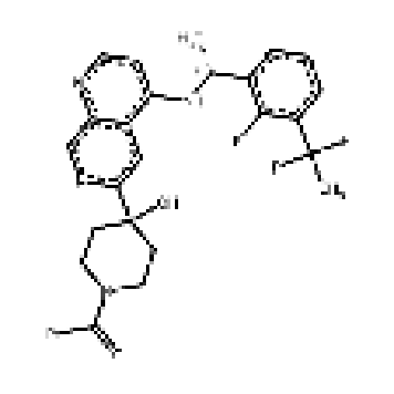 CC(C)C(=O)N1CCC(O)(c2cc3c(N[C@H](C)c4cccc(C(C)(F)F)c4F)ccnc3cn2)CC1